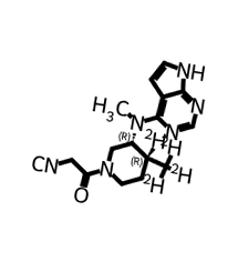 [2H]C([2H])([2H])[C@]1([2H])CCN(C(=O)C[N+]#[C-])C[C@@H]1N(C)c1ncnc2[nH]ccc12